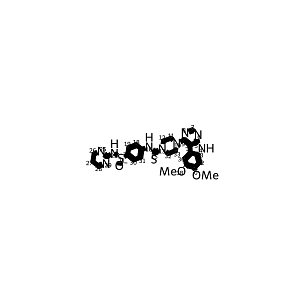 COc1cc2[nH]c3ncnc(N4CCN(C(=S)Nc5ccc([S+]([O-])NC6=NCCC=N6)cc5)CC4)c3c2cc1OC